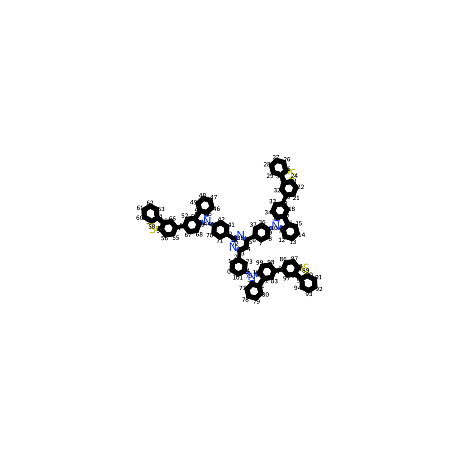 c1cc(-c2cc(-c3ccc(-n4c5ccccc5c5cc(-c6ccc7sc8ccccc8c7c6)ccc54)cc3)nc(-c3ccc(-n4c5ccccc5c5cc(-c6ccc7sc8ccccc8c7c6)ccc54)cc3)n2)cc(-n2c3ccccc3c3cc(-c4ccc5sc6ccccc6c5c4)ccc32)c1